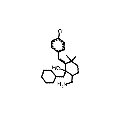 CC1(C)CCC(CN)C(O)(CC2CCCCC2)C1=Cc1ccc(Cl)cc1